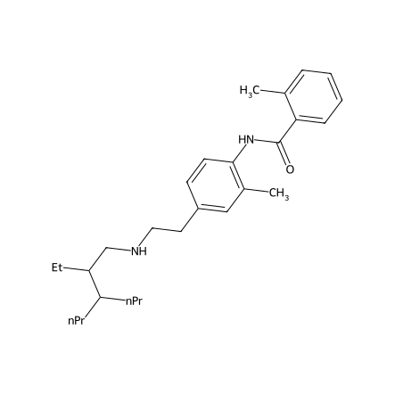 CCCC(CCC)C(CC)CNCCc1ccc(NC(=O)c2ccccc2C)c(C)c1